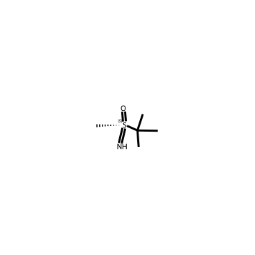 CC(C)(C)[S@@](C)(=N)=O